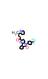 C[C@H](CCC(=O)c1ccc2c(n1)c1ccccc1c(=O)n2-c1ccc(C(F)(F)F)cc1)c1ccccn1